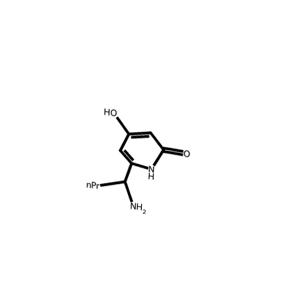 CCCC(N)c1cc(O)cc(=O)[nH]1